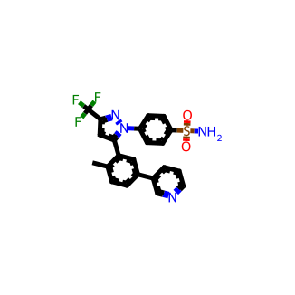 Cc1ccc(-c2cccnc2)cc1-c1cc(C(F)(F)F)nn1-c1ccc(S(N)(=O)=O)cc1